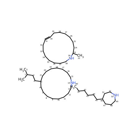 CC(C)CCC1CCCCCCCCNCCCCCCC1.CC1CCCCCC/C=C/CCCCCCCN1.CCCCCCC1CCCNCC1